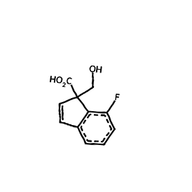 O=C(O)C1(CO)C=Cc2cccc(F)c21